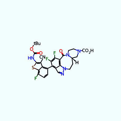 CC(C)(C)OC(=O)Nc1sc2c(F)ccc(-c3c(F)c(F)c4c5c3cnn5CC[C@H]3CN(C(=O)O)CCN3C4=O)c2c1C#N